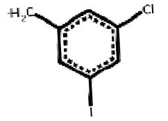 [CH2]c1cc(Cl)cc(I)c1